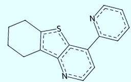 c1ccc(-c2ccnc3c4c(sc23)CCCC4)nc1